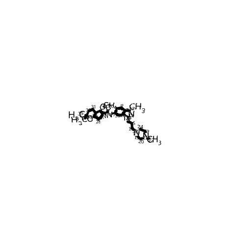 COc1c(C(=O)Nc2ccc3c(C)nn(CCCN4CCN(C)CC4)c3c2)ccc2c1C=CC(C)(C)O2